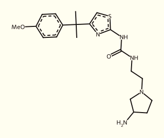 COc1ccc(C(C)(C)c2csc(NC(=O)NCCN3CCC(N)C3)n2)cc1